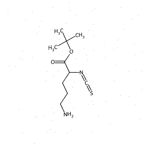 CC(C)(C)OC(=O)C(CCCN)N=C=S